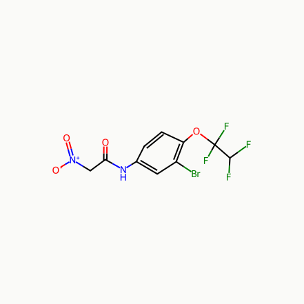 O=C(C[N+](=O)[O-])Nc1ccc(OC(F)(F)C(F)F)c(Br)c1